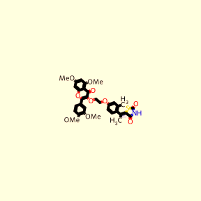 COc1cc(OC)c2c(=O)c(OCCOc3ccc(/C(C)=C4\SC(=O)NC4=O)c(C)c3)c(-c3ccc(OC)c(OC)c3)oc2c1